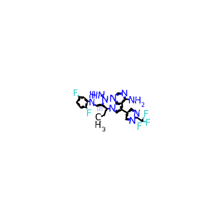 CCC(/C(=C/Nc1cc(F)ccc1F)N=N)n1cc(-c2cnc(C(F)(F)F)nc2)c2c(N)ncnc21